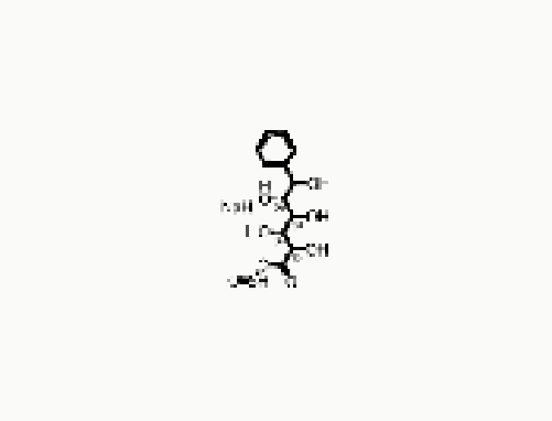 O=[SH]OC(=O)[C@H](O)[C@@H](O)[C@H](O)[C@H](O)C(O)c1ccccc1.[NaH]